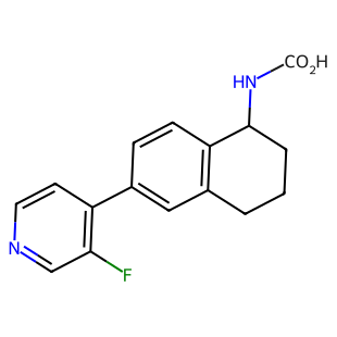 O=C(O)NC1CCCc2cc(-c3ccncc3F)ccc21